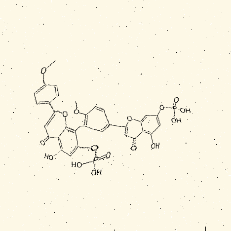 COc1ccc(-c2cc(=O)c3c(O)cc(OP(=O)(O)O)c(-c4cc(-c5cc(=O)c6c(O)cc(OP(=O)(O)O)cc6o5)ccc4OC)c3o2)cc1